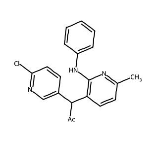 CC(=O)C(c1ccc(Cl)nc1)c1ccc(C)nc1Nc1ccccc1